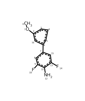 COc1cccc(-c2cc(F)c(N)c(F)c2)c1